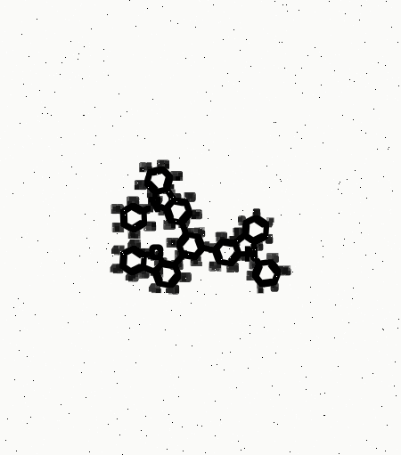 c1ccc(-n2c3ccccc3c3cc(-c4cc(-c5ccc6c7ccccc7n(-c7ccccc7)c6c5)cc(-c5cccc6c5oc5ccccc56)c4)ccc32)cc1